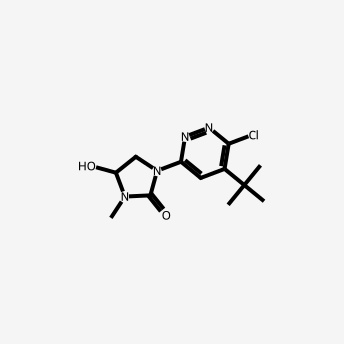 CN1C(=O)N(c2cc(C(C)(C)C)c(Cl)nn2)CC1O